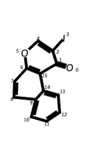 O=c1c(I)coc2ccc3ccccc3c12